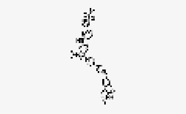 CC(C)n1nc(N2CCC(N3CCN(Cc4ccc(C5CCC(=O)NC5=O)c(F)c4)CC3)CC2)c2cnc(Nc3ccnc(-c4cnn(S(=O)(=O)C5CC5)c4)n3)cc21